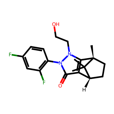 CC1(C)[C@@H]2CC[C@@]1(C)c1c2c(=O)n(-c2ccc(F)cc2F)n1CCO